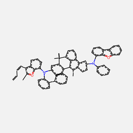 C=C/C=C\c1c(C)oc2c(N(c3ccc4c(c3)C(C)(C)c3cccc5c3c-4c(C)c3ccc(N(c4ccccc4)c4cccc6c4oc4ccccc46)cc35)c3ccccc3-c3ccccc3)cccc12